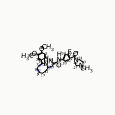 COc1ccc(/C2=C/C=C\CC/C(=C/C(=N)C(=O)Nc3ccc(C(=O)N4CCN(C)CC4)c(F)c3)N2)cc1OC